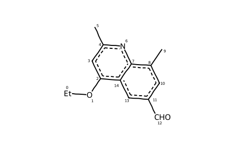 CCOc1cc(C)nc2c(C)cc(C=O)cc12